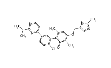 Cc1nc(COc2cc(C)n(-c3cc(-c4ccnc(C(C)C)n4)ncc3Cl)c(=O)c2C)cs1